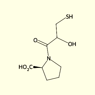 O=C(O)[C@@H]1CCCN1C(=O)C(O)CS